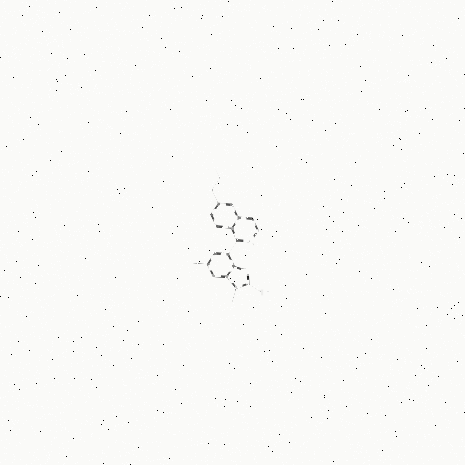 Cc1cc(-c2nccc3cc(CCC(F)(F)F)ccc23)c2oc(C(C)C)c(C)c2c1